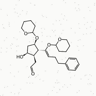 O=CC[C@@H]1[C@@H](C(=CCCc2ccccc2)OC2CCCCO2)[C@H](OC2CCCCO2)C[C@@H]1O